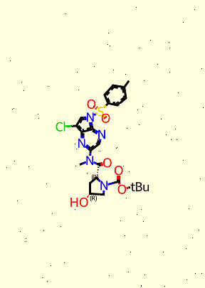 Cc1ccc(S(=O)(=O)n2cc(Cl)c3nc(N(C)C(=O)[C@H]4C[C@@H](O)CN4C(=O)OC(C)(C)C)cnc32)cc1